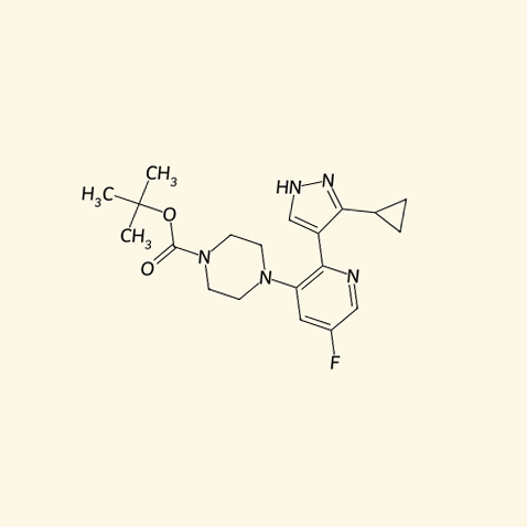 CC(C)(C)OC(=O)N1CCN(c2cc(F)cnc2-c2c[nH]nc2C2CC2)CC1